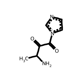 CC(N)C(=O)C(=O)n1ccnc1